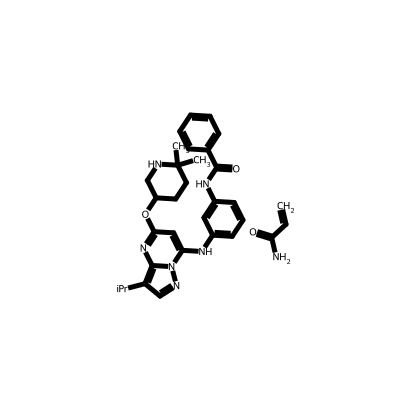 C=CC(N)=O.CC(C)c1cnn2c(Nc3cccc(NC(=O)c4ccccc4)c3)cc(OC3CCC(C)(C)NC3)nc12